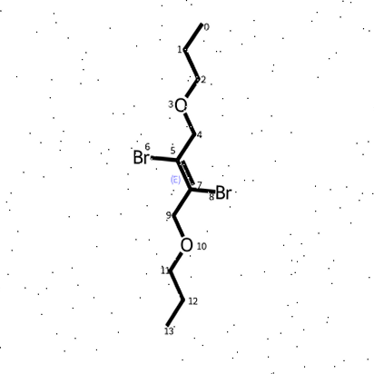 CCCOC/C(Br)=C(\Br)COCCC